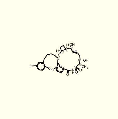 C[C@H]1[C@@H](O)C/C=C/[C@H](O)[C@@H]2CC[C@H]2CN2CCCCc3cc(Cl)ccc3COc3ccc(cc32)C(=O)NS1(=O)=O